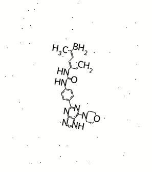 B/C(C)=C/C=C(\C=C)NC(=O)Nc1ccc(-c2nc(N3CCOCC3)c3[nH]cnc3n2)cc1